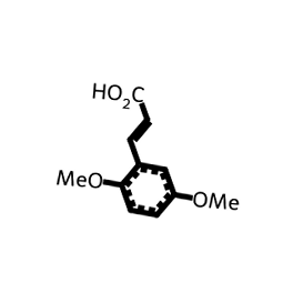 COc1ccc(OC)c(C=CC(=O)O)c1